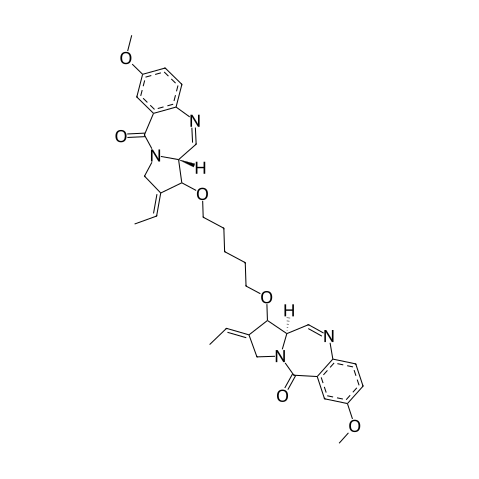 C/C=C1\CN2C(=O)c3cc(OC)ccc3N=C[C@@H]2C1OCCCCCOC1/C(=C/C)CN2C(=O)c3cc(OC)ccc3N=C[C@H]12